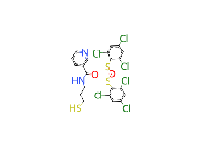 Clc1cc(Cl)c(SOSc2c(Cl)cc(Cl)cc2Cl)c(Cl)c1.O=C(NCCCS)c1cccnc1